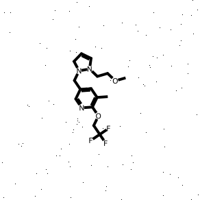 COCCN1C=CCN1Cc1cnc(OCC(F)(F)F)c(C)c1